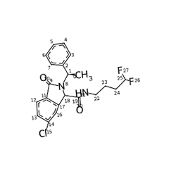 C[C@H](c1ccccc1)N1C(=O)c2ccc(Cl)cc2C1C(=O)NCCCC(F)F